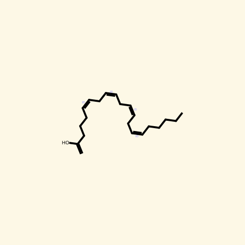 C=C(O)CCC/C=C\C/C=C\C/C=C\C/C=C\CCCCC